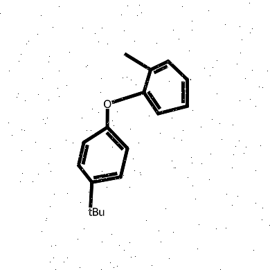 Cc1c[c]ccc1Oc1ccc(C(C)(C)C)cc1